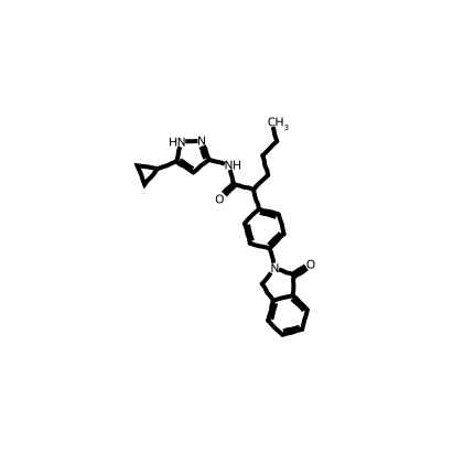 CCCCC(C(=O)Nc1cc(C2CC2)[nH]n1)c1ccc(N2Cc3ccccc3C2=O)cc1